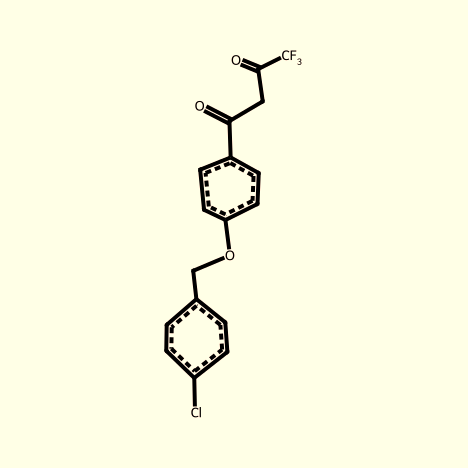 O=C(CC(=O)C(F)(F)F)c1ccc(OCc2ccc(Cl)cc2)cc1